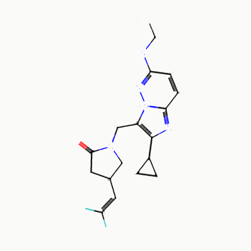 O=C1CC(C=C(F)F)CN1Cc1c(C2CC2)nc2ccc(NCC(F)(F)F)nn12